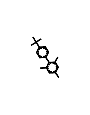 Cc1[c]c(C)c(-c2ccc(C(C)(C)C)cc2)c(C)c1